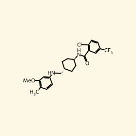 COc1cc(NC[C@H]2CC[C@H](NC(=O)c3cc(C(F)(F)F)ccc3Cl)CC2)ccc1C